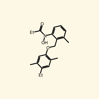 CCC(=O)N(O)c1cccc(C)c1COc1cc(C)c(CC)cc1C